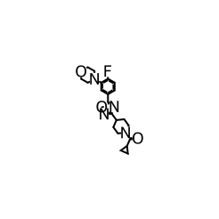 O=C(C1CC1)N1CCC(c2noc(-c3ccc(F)c(N4CCOCC4)c3)n2)CC1